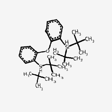 CC(C)(C)[SiH](c1ccccc1Oc1ccccc1[SiH](C(C)(C)C)C(C)(C)C)C(C)(C)C